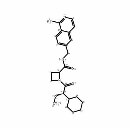 Nc1nccc2cc(CNC(=O)C3CCN3C(=O)[C@H](NC(=O)O)C3CCCCC3)ccc12